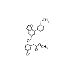 CCc1cccc(-c2cc(COc3ccc(Br)cc3CC(=O)OC)cc3ccoc23)c1